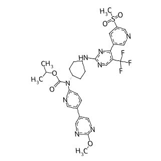 COc1ncc(-c2ccc(N(C(=O)OC(C)C)[C@H]3CC[C@H](Nc4ncc(C(F)(F)F)c(-c5cncc(S(C)(=O)=O)c5)n4)CC3)nc2)cn1